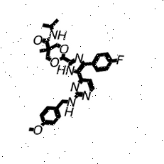 COc1ccc(CNc2nccc(-c3[nH]c(C4OCC(C)(C(=O)NC(C)C)CO4)nc3-c3ccc(F)cc3)n2)cc1